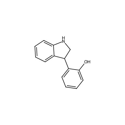 Oc1ccccc1C1CNc2ccccc21